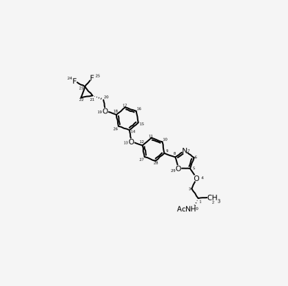 CC(=O)N[C@@H](C)COc1cnc(-c2ccc(Oc3cccc(OC[C@@H]4CC4(F)F)c3)cc2)o1